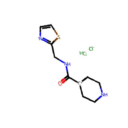 Cl.O=C(NCc1nccs1)[C+]1CCNCC1.[Cl-]